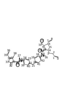 C=CCCC1CC(C=C)C(C=O)C1C(=O)N(C)c1ccc(Cc2ccc(N(C)C(=O)C3C(C)CC(C=C)C3C)cc2)cc1